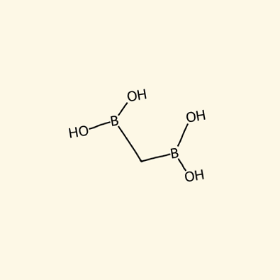 OB(O)CB(O)O